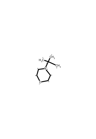 CC(C)(C)[N+]1CCOCC1